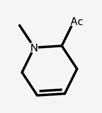 CC(=O)C1CC=CCN1C